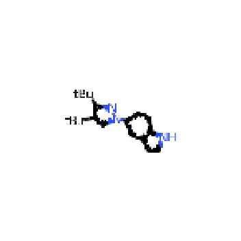 CC(C)(C)c1cn(-c2ccc3[nH]ccc3c2)nc1C(C)(C)C